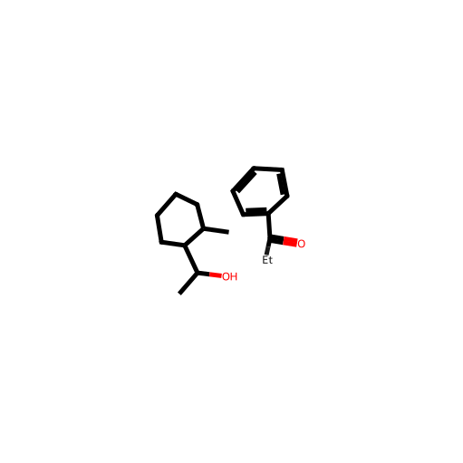 CC(O)C1CCCCC1C.CCC(=O)c1ccccc1